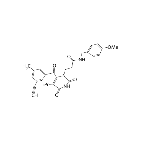 C#Cc1cc(C)cc(C(=O)c2c(C(C)C)c(=O)[nH]c(=O)n2CCC(=O)NCc2ccc(OC)cc2)c1